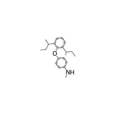 CCC(C)c1cccc(C(C)CC)c1Oc1ccc(NC)cc1